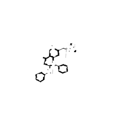 CS(=O)(=O)NCc1cc2c(cn1)c(=O)cc(Nc1ccccc1)n2-c1ccccc1